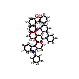 c1ccc(-c2ccccc2-c2c(-c3ccccc3)cccc2N(c2cccc(-c3cccc4c3c3ccccc3n4-c3ccccc3)c2)c2cccc3oc4ccccc4c23)cc1